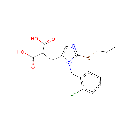 CCCSc1ncc(CC(C(=O)O)C(=O)O)n1Cc1ccccc1Cl